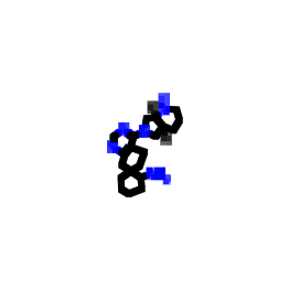 NC1CCCCC12CCc1c(ncnc1N1C[C@H]3CCCN[C@H]3C1)C2